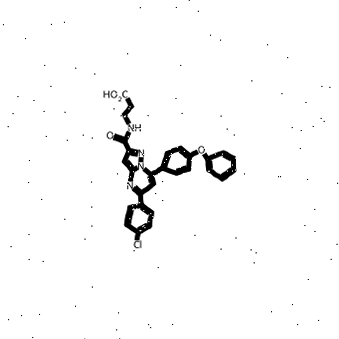 O=C(O)CCNC(=O)c1cc2nc(-c3ccc(Cl)cc3)cc(-c3ccc(Oc4ccccc4)cc3)n2n1